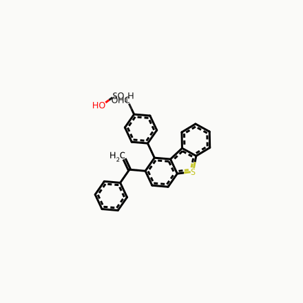 C=C(c1ccccc1)c1ccc2sc3ccccc3c2c1-c1ccc(C=O)cc1.O=S(=O)(O)O